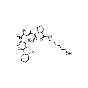 C/C(=C\C(C(C)C)N(C)C(=O)[C@@H](NC(=O)[C@H]1CCCCN1C(C)C)C(C)(C)C)C(=O)N1CCC[C@H]1C(=O)NCCCCCCO